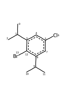 CC(C)c1cc(Cl)cc(C(C)C)c1Br